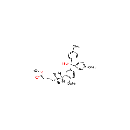 [2H]C([2H])(CCCC(=O)OC(C)(C)C)C([2H])([2H])c1cc(C(O)(c2ccc(OC)cc2)c2ccc(OC)cc2)ccc1OC